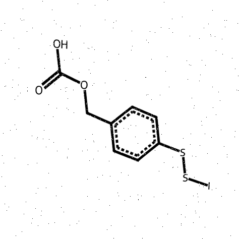 O=C(O)OCc1ccc(SSI)cc1